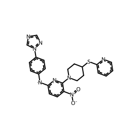 O=[N+]([O-])c1ccc([N]c2ccc(-n3cncn3)cc2)nc1N1CCC(Sc2ccccn2)CC1